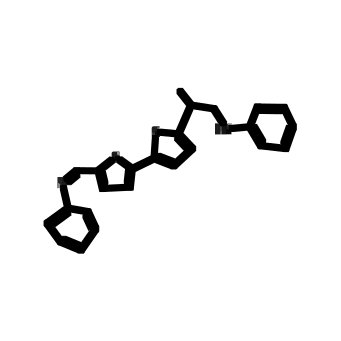 CC(CNc1ccccc1)c1ccc(-c2ccc(/C=N\c3ccccc3)s2)s1